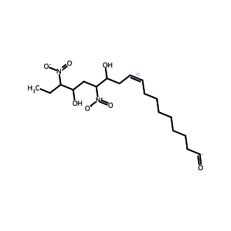 CCC(C(O)CC(C(O)C/C=C\CCCCCCC[C]=O)[N+](=O)[O-])[N+](=O)[O-]